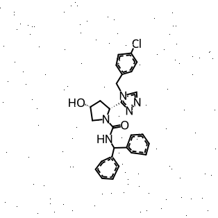 O=C(NC(c1ccccc1)c1ccccc1)N1C[C@H](O)C[C@@H]1c1nncn1Cc1ccc(Cl)cc1